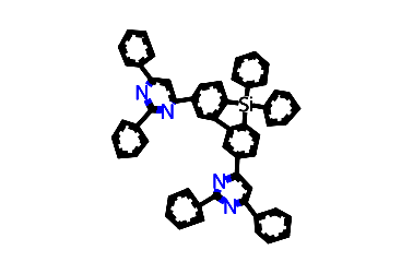 c1ccc(-c2cc(-c3ccc4c(c3)-c3cc(-c5cc(-c6ccccc6)nc(-c6ccccc6)n5)ccc3[Si]4(c3ccccc3)c3ccccc3)nc(-c3ccccc3)n2)cc1